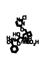 CCCCC(CC1(COc2ccnc(Cl)n2)CCC1)(NC(=O)O)C(O)C(=O)NC(C)c1ccccc1